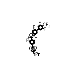 CCCC12COC(c3cc(F)c(C(F)(F)Oc4ccc(-c5cc(F)c(C(F)(F)F)c(F)c5)c(F)c4)c(F)c3)(OC1)OC2